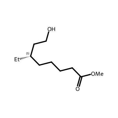 CC[C@H](CCO)CCCCC(=O)OC